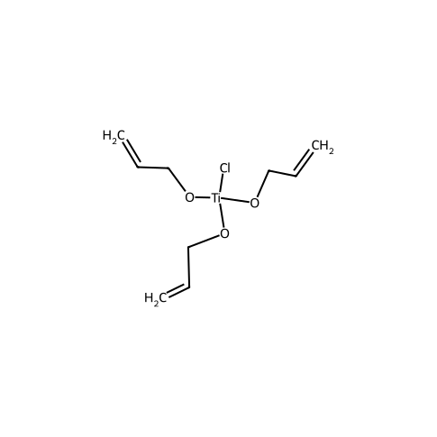 C=CC[O][Ti]([Cl])([O]CC=C)[O]CC=C